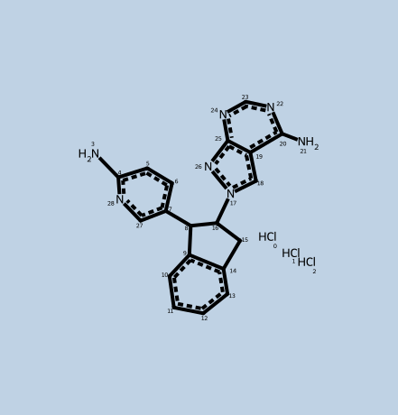 Cl.Cl.Cl.Nc1ccc(C2c3ccccc3CC2n2cc3c(N)ncnc3n2)cn1